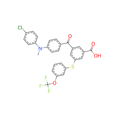 CN(c1ccc(Cl)cc1)c1ccc(C(=O)c2cc(Sc3cccc(OC(F)(F)F)c3)cc(C(=O)O)c2)cc1